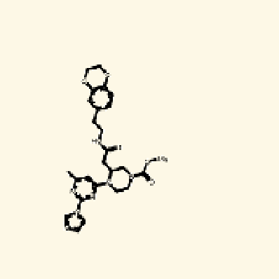 Cc1cc(N2CCN(C(=O)OC(C)(C)C)CC2CC(=O)NCCc2ccc3c(c2)OCCO3)nc(-n2ccnc2)n1